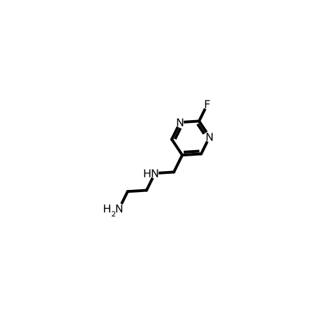 NCCNCc1cnc(F)nc1